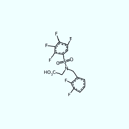 O=C(O)CN(Cc1cccc(F)c1F)S(=O)(=O)c1cc(F)c(F)c(F)c1F